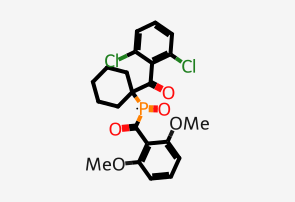 COc1cccc(OC)c1C(=O)[P](=O)C1(C(=O)c2c(Cl)cccc2Cl)CCCCC1